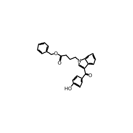 O=C(CCCn1cc(C(=O)c2ccc(O)cc2)c2ccccc21)OCc1ccccc1